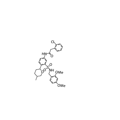 COc1ccc(CNS(=O)(=O)c2cc(NC(=O)Cc3ccccc3Cl)ccc2C2CCC(C)CO2)c(OC)c1